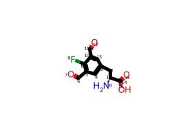 N[C@H](Cc1cc(C=O)c(F)c(C=O)c1)C(=O)O